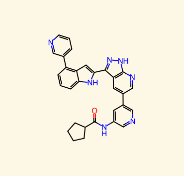 O=C(Nc1cncc(-c2cnc3[nH]nc(-c4cc5c(-c6cccnc6)cccc5[nH]4)c3c2)c1)C1CCCC1